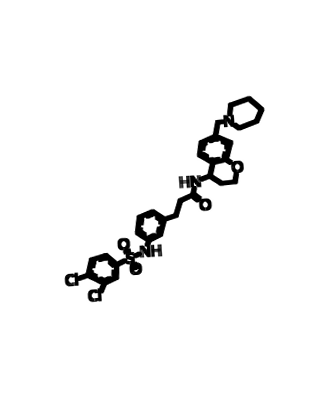 O=C(CCc1cccc(NS(=O)(=O)c2ccc(Cl)c(Cl)c2)c1)NC1CCOc2cc(CN3CCCCC3)ccc21